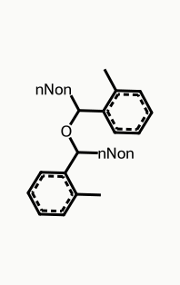 CCCCCCCCCC(OC(CCCCCCCCC)c1ccccc1C)c1ccccc1C